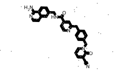 N#Cc1cccn(Cc2ccc(Cc3cc(C(=O)NCc4ccc5c(N)nccc5c4)ccn3)cc2)c1=O